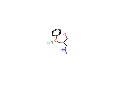 CNCC1COc2ccccc2OC1.Cl